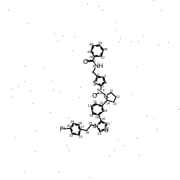 O=C(NCc1ccc([S+]([O-])N2CCCC2c2cccc(-c3cncn3CCc3ccc(F)cc3)c2)s1)c1ccccc1